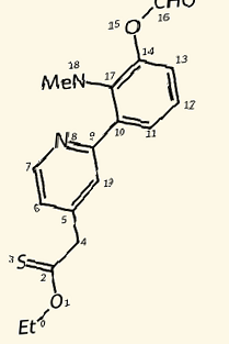 CCOC(=S)Cc1ccnc(-c2cccc(OC=O)c2NC)c1